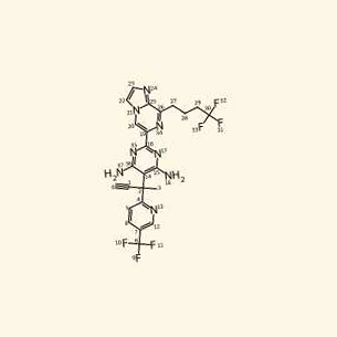 C#CC(C)(c1ccc(C(F)(F)F)cn1)c1c(N)nc(-c2cn3ccnc3c(CCCC(F)(F)F)n2)nc1N